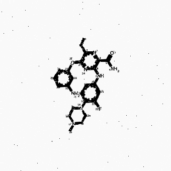 CCc1nc(C(N)=O)c(Nc2ccc(N3CCN(C)CC3)c(F)c2)nc1Oc1cccc(N)c1